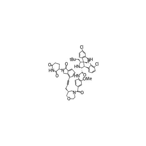 COc1cc(C(=O)N2CCOC[C@@H](CC#Cc3cccc4c3CN(C3CCC(=O)NC3=O)C4=O)C2)ccc1NC(=O)[C@@H]1N[C@@H](CC(C)(C)C)[C@@]2(CNc3cc(Cl)ccc32)[C@H]1c1cccc(Cl)c1F